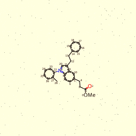 COC(=O)CCc1ccc2c(c1)c(CCc1ccccc1)cn2-c1ccccc1C